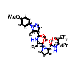 COc1ccc(-n2ncc(C(=O)N[C@H](C(=O)N3CCC[C@H]3C(=O)N[C@H](C(=O)C(F)(F)F)C(C)C)C(C)C)c2C)cc1